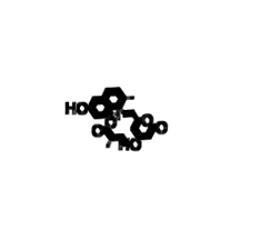 CC[C@H](C)C(=O)O[C@H]1C[C@@H](O)C=C2C=C[C@H](C)[C@H](CC[C@@H]3C[C@@H](O)CC(=O)O3)[C@H]21